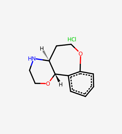 Cl.c1ccc2c(c1)OCC[C@@H]1NCCO[C@@H]21